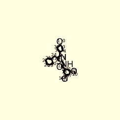 COc1ccc(-c2nc(NC(=O)c3cc(OC)cc(OC)c3)sc2Cc2ccccc2)cc1